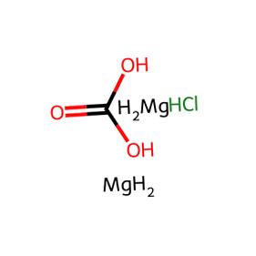 Cl.O=C(O)O.[MgH2].[MgH2]